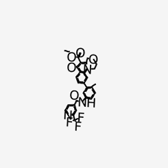 CCOC(=O)c1c2n(c3cc(-c4cc(NC(=O)c5ccnc(C(F)(F)F)c5)ccc4C)ccc3c1=O)CCOC2